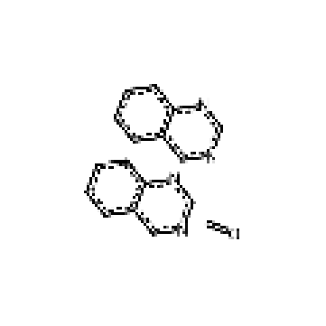 C=O.c1ccc2ncncc2c1.c1ccc2ncncc2c1